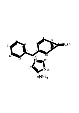 N.O=c1c2ccc(Cc3ccccc3)cc12.c1cscn1